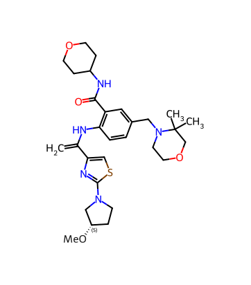 C=C(Nc1ccc(CN2CCOCC2(C)C)cc1C(=O)NC1CCOCC1)c1csc(N2CC[C@H](OC)C2)n1